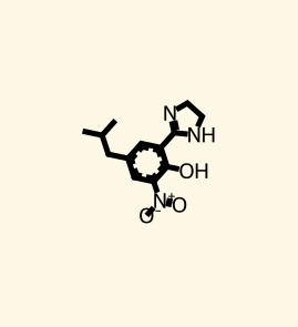 CC(C)Cc1cc(C2=NCCN2)c(O)c([N+](=O)[O-])c1